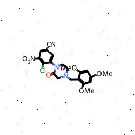 COc1cc(OC)c(CN2CCN(c3cc(C#N)cc([N+](=O)[O-])c3Cl)C(=O)C2)c(OC)c1